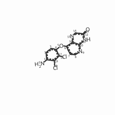 Nc1ccc(Oc2ccnc3[nH]c(=O)cnc23)c(Cl)c1Cl